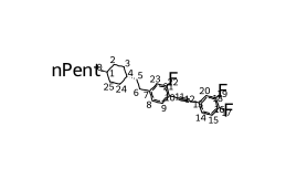 CCCCC[C@H]1CC[C@H](CCc2ccc(C#Cc3ccc(F)c(F)c3)c(F)c2)CC1